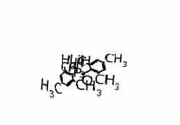 Cc1cc(C)c(PC(=O)c2c(C)cc(C)cc2C)c(C)c1.[LiH]